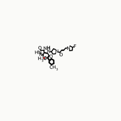 Cc1ccc2oc(/C(NC3CCN(C(=O)/C=C/CN4CCC(F)C4)CC3)=C3/C(=N)C(=O)NN=C3N)c(C)c2c1